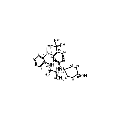 C=CC(=O)Nc1ccccc1Nc1nc(N[C@H]2CC[C@H](O)CC2)ncc1C(F)(F)F